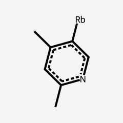 Cc1cc(C)[c]([Rb])cn1